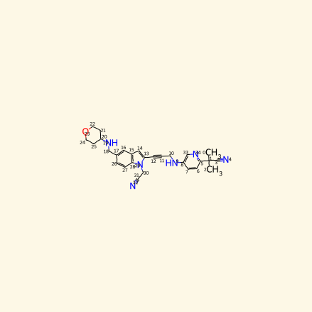 CC(C)(C#N)c1ccc(NCC#Cc2cc3cc(CNC4CCOCC4)ccc3n2CC#N)cn1